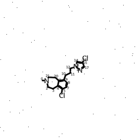 CN1CCc2c(Cl)ccc(CCCn3cc(Cl)cn3)c2CC1